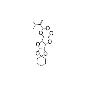 C=C(C(=O)OC1C(=O)OC2C3OC4(CCCCC4)OC3OC12)C(C)C